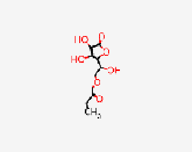 CCC(=O)COCC(O)C1OC(=O)C(O)=C1O